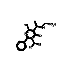 CCC(CC)n1c(-c2ccccc2)nc(O)c(C(=O)NCC(=O)O)c1=O